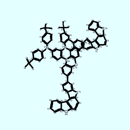 CC(C)(C)c1ccc(N(c2ccc(C(C)(C)C)cc2)c2ccc3c(c2)N(c2ccc(C(C)(C)C)cc2-c2ccccc2)c2cc(-c4ccc5c(c4)sc4ccc6sc7ccccc7c6c45)cc4c2B3c2ccc(-c3ccc5c(c3)sc3ccc6oc7ccccc7c6c35)cc2O4)cc1